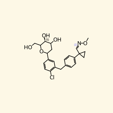 CO/N=C\C1(c2ccc(Cc3cc(C4CC(O)[C@H](O)C(CO)O4)ccc3Cl)cc2)CC1